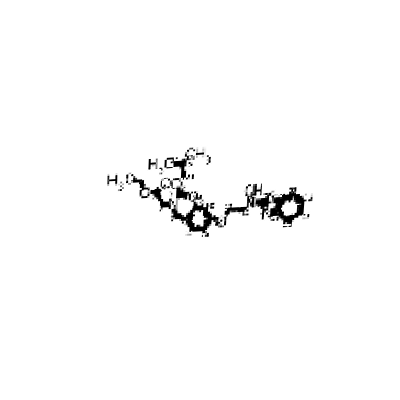 CCOC(=O)CN(Cc1ccc(OCCN(C)c2nc3ccccc3s2)cc1)C(=O)OCC(C)C